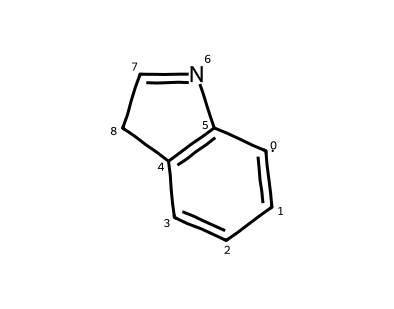 [c]1cccc2c1N=CC2